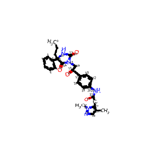 CCCC1(c2ccccc2)NC(=O)N(CC(=O)c2ccc(NC(=O)Cc3c(C)cnn3C)cc2)C1=O